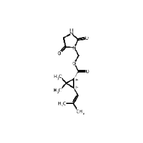 CC(C)=C[C@@H]1[C@@H](C(=O)OCN2C(=O)CNC2=O)C1(C)C